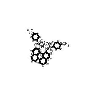 O=P1(O)N(S(=O)(=O)c2ccc(C(F)(F)F)cc2)c2ccc3ccccc3c2-c2c(ccc3ccccc23)N1S(=O)(=O)c1ccc(C(F)(F)F)cc1